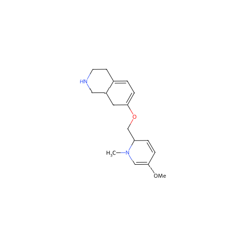 COC1=CN(C)C(COC2=CC=C3CCNCC3C2)C=C1